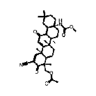 COC(=O)N[C@]12CCC(C)(C)CC1C1C(=O)C=C3[C@@]4(C)C=C(C#N)C(=O)[C@@](C)(COC(C)=O)C4CC[C@@]3(C)[C@]1(C)CC2